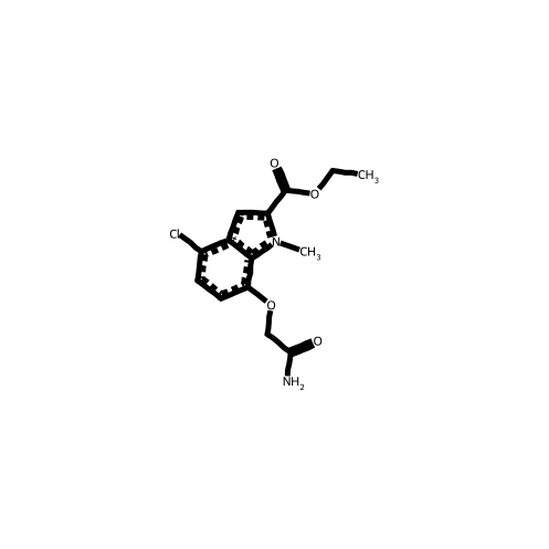 CCOC(=O)c1cc2c(Cl)ccc(OCC(N)=O)c2n1C